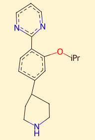 CC(C)Oc1cc(C2CCNCC2)ccc1-c1ncccn1